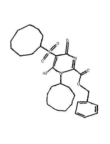 O=C(OCc1ccccc1)c1nc(=O)c(S(=O)(=O)C2CCCCCCCC2)c(O)n1C1CCCCCCCC1